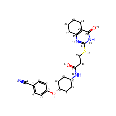 N#Cc1ccc(O[C@H]2CC[C@H](NC(=O)CCSc3nc4c(c(=O)[nH]3)CCCC4)CC2)cc1